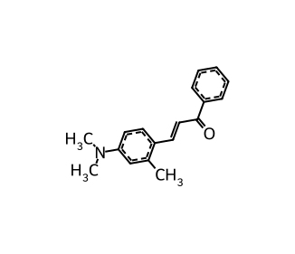 Cc1cc(N(C)C)ccc1C=CC(=O)c1ccccc1